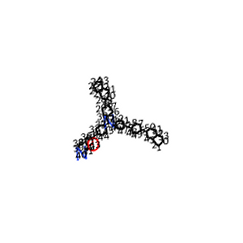 c1ccc2cc(-c3ccc(-c4ccc(N(c5ccc(-c6ccc7ccccc7c6)cc5)c5ccc(-c6cc7ccncc7o6)cc5)cc4)cc3)ccc2c1